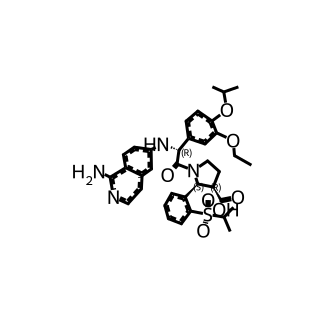 CCOc1cc([C@@H](Nc2ccc3c(N)nccc3c2)C(=O)N2CC[C@@H](C(=O)O)[C@H]2c2ccccc2S(=O)(=O)C(C)C)ccc1OC(C)C